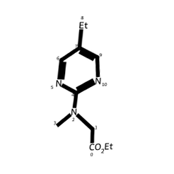 CCOC(=O)CN(C)c1ncc(CC)cn1